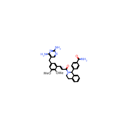 COc1cc(Cc2cnc(N)nc2N)cc(/C=C/C(=O)N2CCc3ccccc3C2c2ccc(C(N)=O)cc2)c1OC